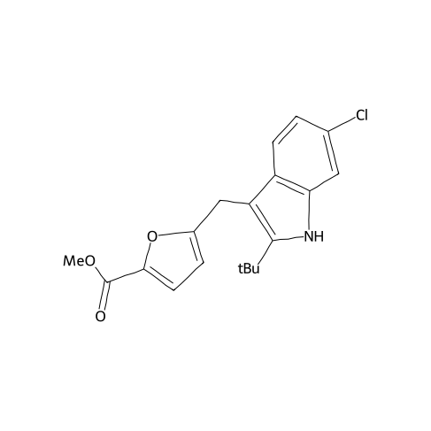 COC(=O)c1ccc(Cc2c(C(C)(C)C)[nH]c3cc(Cl)ccc23)o1